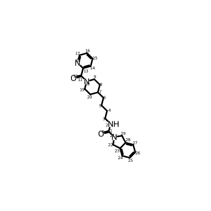 O=C(NCCCCC1CCN(C(=O)c2ccccn2)CC1)N1Cc2ccccc2C1